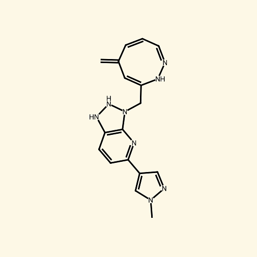 C=C1/C=C\C=N/N/C(CN2NNc3ccc(-c4cnn(C)c4)nc32)=C\1